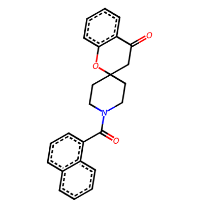 O=C1CC2(CCN(C(=O)c3cccc4ccccc34)CC2)Oc2ccccc21